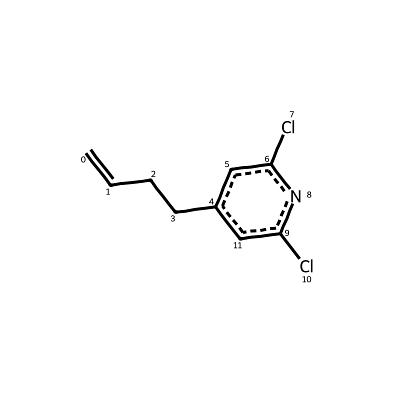 C=CCCc1cc(Cl)nc(Cl)c1